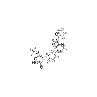 CC(C)(C)OC(=O)N[C@H](Cc1ccc(-c2ncnc3c2ncn3[C@@H]2CCCCO2)cc1)C(=O)O